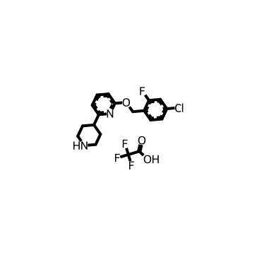 Fc1cc(Cl)ccc1COc1cccc(C2CCNCC2)n1.O=C(O)C(F)(F)F